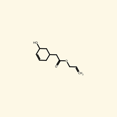 C=CCOC(=O)CC1CC=CC(O)C1